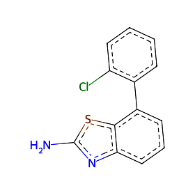 Nc1nc2cccc(-c3ccccc3Cl)c2s1